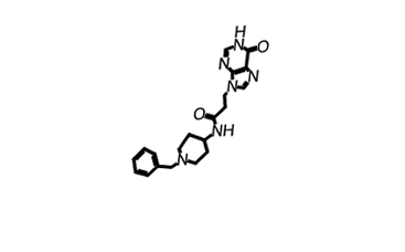 O=C(CCn1cnc2c(=O)[nH]cnc21)NC1CCN(Cc2ccccc2)CC1